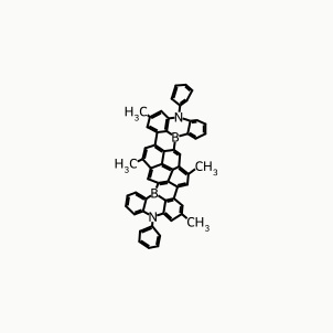 Cc1cc2c3c(c1)N(c1ccccc1)c1ccccc1B3c1cc3c(C)cc4c5c(cc6c(C)cc-2c1c6c35)B1c2ccccc2N(c2ccccc2)c2cc(C)cc-4c21